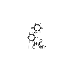 CCCC(=O)N(C)c1cccc(-c2ccccc2)c1